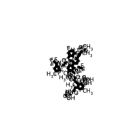 Cc1cc(CC(=O)NCP(=O)(O)O)c(C(C)(C)CC(=O)N(c2nn(CC(F)(F)F)c3c(-c4ccc(C#CC(C)(C)S(C)(=O)=O)nc4[C@H](Cc4cc(F)cc(F)c4)NC(=O)Cn4nc(C(F)(F)F)c5c4C(F)(F)[C@H](C)C5)ccc(Cl)c23)S(C)(=O)=O)c(OP(=O)(O)O)c1